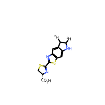 [2H]C1Nc2cc3sc(C4=N[C@H](C(=O)O)CS4)nc3cc2C1[2H]